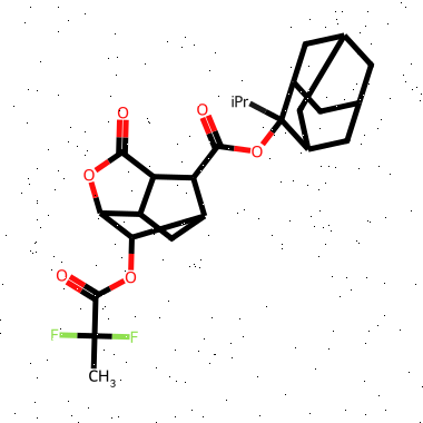 CC(C)C1(OC(=O)C2C3CC4C(OC(=O)C42)C3OC(=O)C(C)(F)F)C2CC3CC(C2)CC1C3